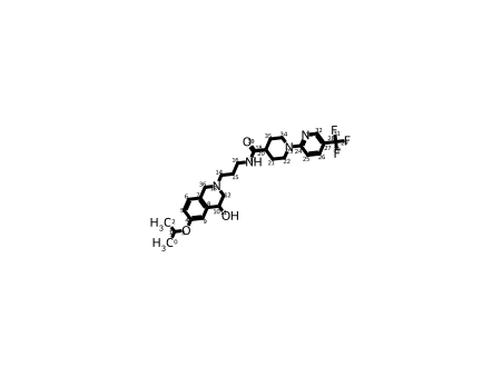 CC(C)Oc1ccc2c(c1)C(O)CN(CCCNC(=O)C1CCN(c3ccc(C(F)(F)F)cn3)CC1)C2